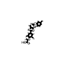 Cc1ccc(F)c(Oc2ncc3nc(-c4cc(C)c(OC(C)C(=O)O)c(C)c4)oc3n2)c1